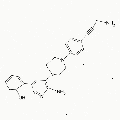 NCC#Cc1ccc(N2CCN(c3cc(-c4ccccc4O)nnc3N)CC2)cc1